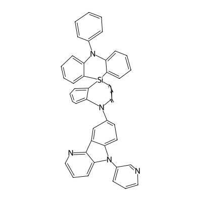 c1ccc(N2c3ccccc3[Si]3(c4ccccc42)c2ccccc2N(c2ccc4c(c2)c2ncccc2n4-c2cccnc2)c2ccccc23)cc1